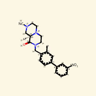 Cc1cc(-c2cccc([N+](=O)[O-])c2)ccc1CN1CCN2CCN(C#N)C[C@@H]2C1=O